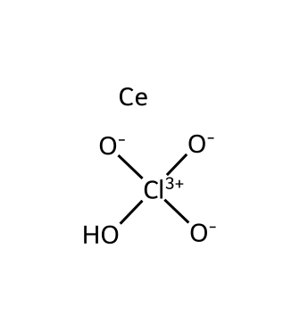 [Ce].[O-][Cl+3]([O-])([O-])O